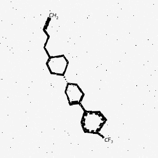 C=CCCC1CCC([C@H]2CC=C(c3ccc(C(F)(F)F)cc3)CC2)CC1